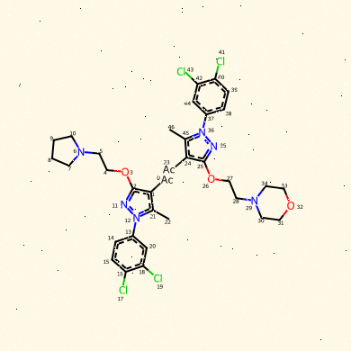 CC(=O)c1c(OCCN2CCCC2)nn(-c2ccc(Cl)c(Cl)c2)c1C.CC(=O)c1c(OCCN2CCOCC2)nn(-c2ccc(Cl)c(Cl)c2)c1C